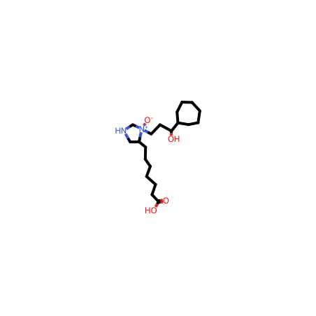 O=C(O)CCCCCCC1CNC[N+]1([O-])CCC(O)C1CCCCCC1